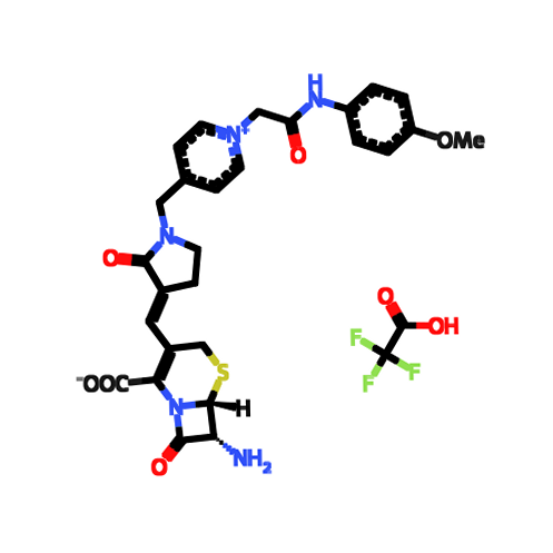 COc1ccc(NC(=O)C[n+]2ccc(CN3CC/C(=C\C4=C(C(=O)[O-])N5C(=O)[C@@H](N)[C@H]5SC4)C3=O)cc2)cc1.O=C(O)C(F)(F)F